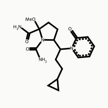 COC1(C(N)=O)CCC(C(CCC2CC2)n2ccccc2=O)N1C(N)=O